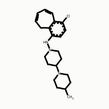 CC1CCN(C2CCN(Nc3ccc(Cl)c4c3CC=CC=C4)CC2)CC1